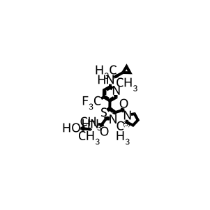 C[C@H]1CCCN1C(=O)c1nc(C(=O)NCC(C)(C)O)sc1-c1cnc(NC(C)(C)C2CC2)cc1C(F)(F)F